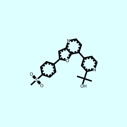 CC(C)(O)c1cc(-c2ccnc3cc(-c4ccc(S(C)(=O)=O)cc4)oc23)ccn1